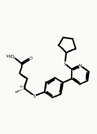 C[C@H](CCC(=O)O)Sc1ccc(-c2cccnc2SC2CCCC2)cc1